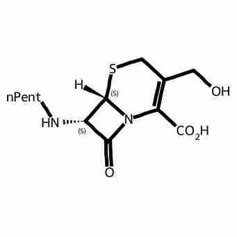 CCCCCN[C@H]1C(=O)N2C(C(=O)O)=C(CO)CS[C@@H]12